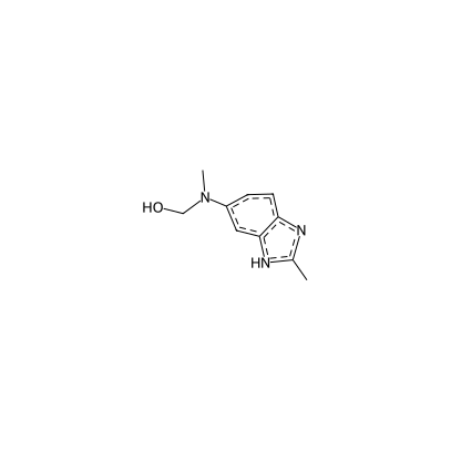 Cc1nc2ccc(N(C)CO)cc2[nH]1